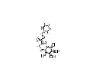 O=C(OCc1ccccn1)N1CCc2c(Cl)c(O)c(O)c(Cl)c2C1